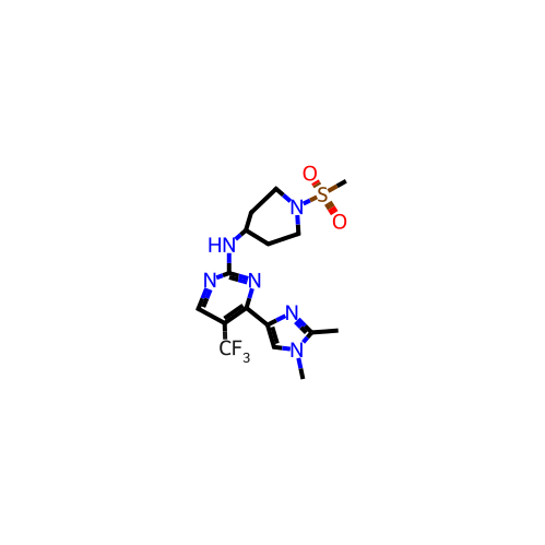 Cc1nc(-c2nc(NC3CCN(S(C)(=O)=O)CC3)ncc2C(F)(F)F)cn1C